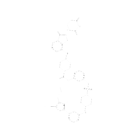 O=C(O)COc1c(C(=O)O)sc(-c2cccc(NC3CCN(S(=O)(=O)Cc4cccc(NC(=O)N5CCC(Nc6cccc7c6CN([C@@H]6CCC(=O)NC6=O)C7=O)CC5)c4)CC3)c2)c1Cl